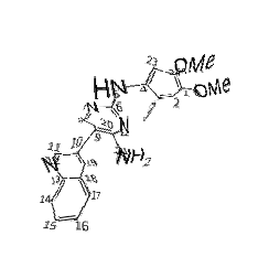 COc1ccc(Nc2ncc(-c3cnc4ccccc4c3)c(N)n2)cc1OC